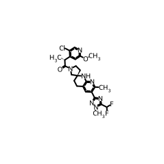 COc1cc([C@@H](C)C(=O)N2CC[C@@]3(CCc4cc(-c5nc(C(F)F)n(C)n5)c(C)nc4N3)C2)c(Cl)cn1